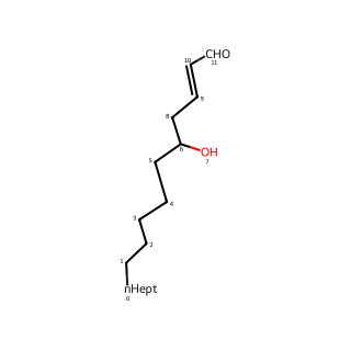 CCCCCCCCCCCCC(O)CC=CC=O